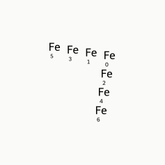 [Fe].[Fe].[Fe].[Fe].[Fe].[Fe].[Fe]